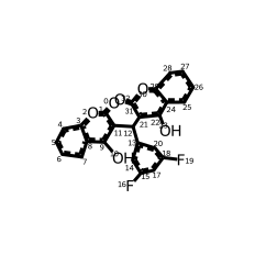 O=c1oc2ccccc2c(O)c1C(c1cc(F)cc(F)c1)c1c(O)c2ccccc2oc1=O